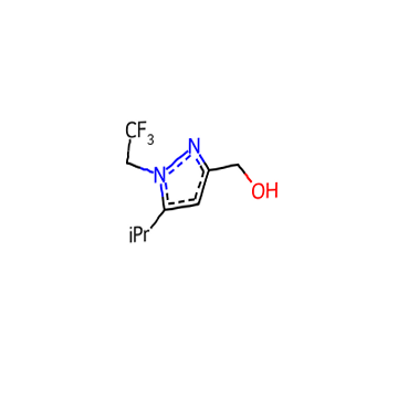 CC(C)c1cc(CO)nn1CC(F)(F)F